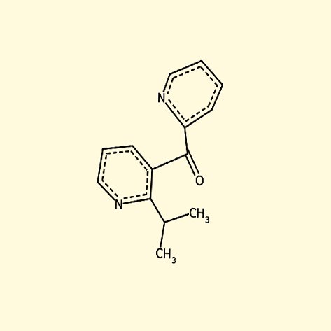 CC(C)c1ncccc1C(=O)c1ccccn1